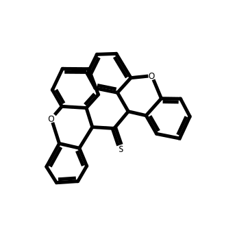 S=C(C1c2ccccc2Oc2ccccc21)C1c2ccccc2Oc2ccccc21